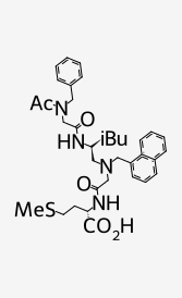 CC[C@H](C)[C@@H](CN(CC(=O)N[C@@H](CCSC)C(=O)O)Cc1cccc2ccccc12)NC(=O)CN(Cc1ccccc1)C(C)=O